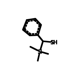 C[Si](C)(C)C(S)c1ccccc1